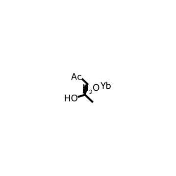 CC(=O)/C=C(/C)O.O.[Yb]